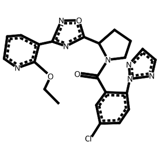 CCOc1ncccc1-c1noc(C2CCCN2C(=O)c2cc(Cl)ccc2-n2nccn2)n1